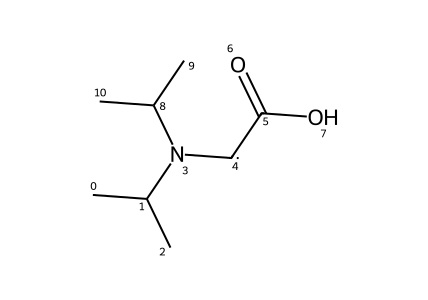 CC(C)N([CH]C(=O)O)C(C)C